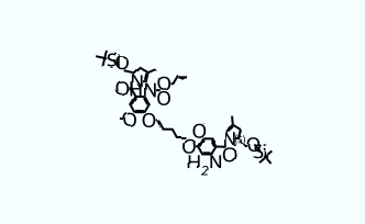 C=CCOC(=O)Nc1cc(OCCCCCOc2cc(N)c(C(=O)N3C=C(C)C[C@H]3CO[Si](C)(C)C(C)(C)C)cc2OC)c(OC)cc1C(=O)N1C=C(C)CC1CO[Si](C)(C)C(C)(C)C